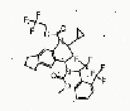 COC(=O)N(C1CC(C2CC2)N(C(=O)OCC(F)(F)F)c2cc3c(cc21)CCC3)C(c1ccccc1C(F)(F)F)C(F)(F)F